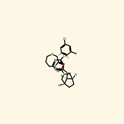 Cc1cc(N2C[C@H]3CC[C@@H](C2)[C@@H]3Nc2nc3n(n2)CCCO[C@@H]3c2cc(F)cc(Cl)c2)ncn1